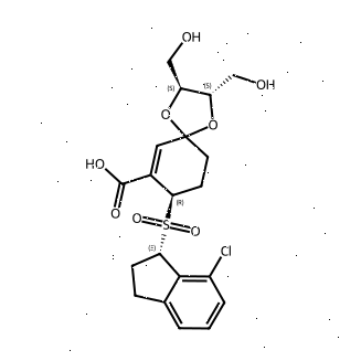 O=C(O)C1=CC2(CC[C@H]1S(=O)(=O)[C@H]1CCc3cccc(Cl)c31)O[C@@H](CO)[C@H](CO)O2